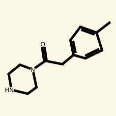 Cc1ccc(CC(=O)N2CCNCC2)cc1